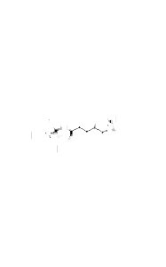 CN(C)CCCCC(=O)OC(C)(C)N